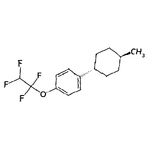 C[C@H]1CC[C@H](c2ccc(OC(F)(F)C(F)F)cc2)CC1